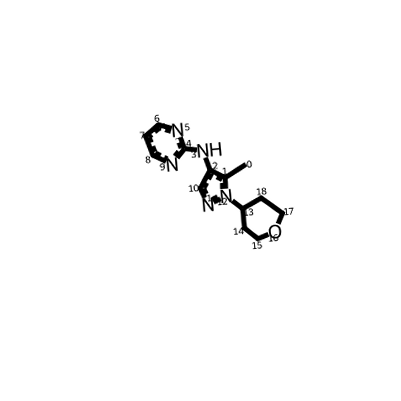 Cc1c(Nc2n[c]ccn2)cnn1C1CCOCC1